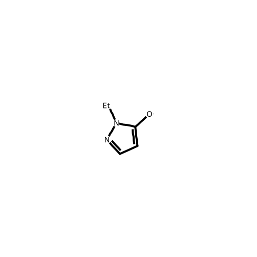 CCn1nccc1[O]